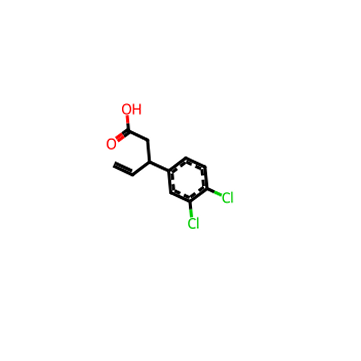 C=CC(CC(=O)O)c1ccc(Cl)c(Cl)c1